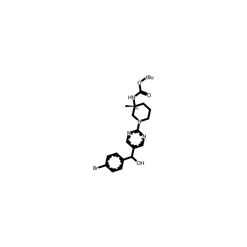 CC(C)(C)OC(=O)N[C@]1(C)CCCN(c2ncc(C(O)c3ccc(Br)cc3)cn2)C1